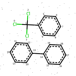 ClC(Cl)(Cl)c1ccccc1.c1ccc(-c2ccccc2)cc1